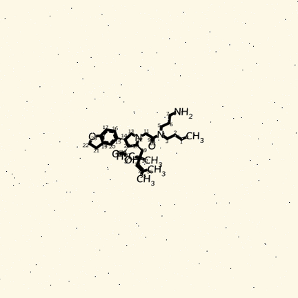 CCCCN(CCCN)C(=O)CN1C[C@H](c2ccc3c(c2)CCO3)[C@@H](C(=O)O)[C@@H]1CC(C)(C)C=C(C)C